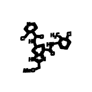 COCc1nc2c(C(=O)Nc3cccc(Cl)c3C)cc(NC(=O)c3ccncc3Cl)cc2[nH]1